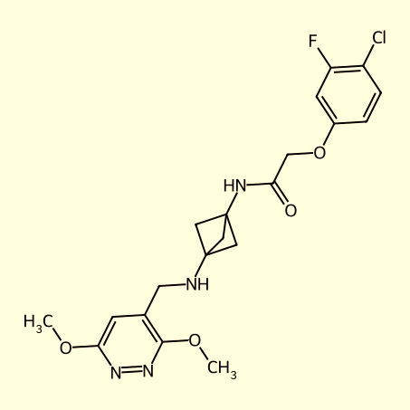 COc1cc(CNC23CC(NC(=O)COc4ccc(Cl)c(F)c4)(C2)C3)c(OC)nn1